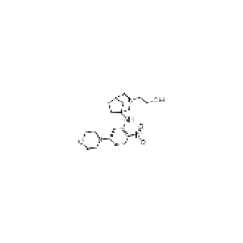 O=[N+]([O-])c1ccc(N2CCOCC2)cc1NC12CCC(CN(CCO)C1)C2